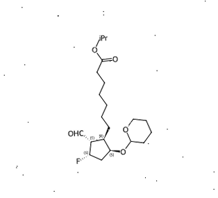 CC(C)OC(=O)CCCCCC[C@@H]1[C@@H](C=O)[C@@H](F)C[C@@H]1OC1CCCCO1